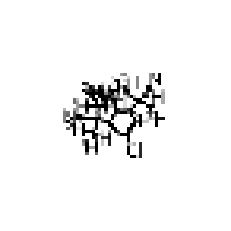 [2H]C([2H])c1c(C(C#N)(C([2H])([2H])[2H])C([2H])([2H])[2H])cc(Cl)cc1C(C#N)(C([2H])([2H])[2H])C([2H])([2H])[2H]